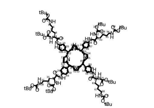 CC(C)(C)OC(=O)NCCCC[C@H](NC(=O)OC(C)(C)C)C(=O)Nc1ccc(-c2c3nc(c(-c4ccc(NC(=O)[C@H](CCCCNC(=O)OC(C)(C)C)NC(=O)OC(C)(C)C)cc4)c4ccc([nH]4)c(-c4ccc(NC(=O)[C@H](CCCCNC(=O)OC(C)(C)C)NC(=O)OC(C)(C)C)cc4)c4nc(c(-c5ccc(NC(=O)[C@H](CCCCNC(=O)OC(C)(C)C)NC(=O)OC(C)(C)C)cc5)c5ccc2[nH]5)C=C4)C=C3)cc1